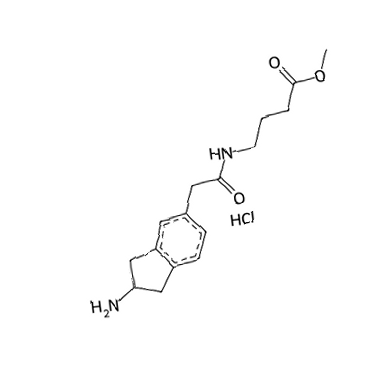 COC(=O)CCCNC(=O)Cc1ccc2c(c1)CC(N)C2.Cl